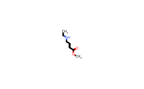 CCNC/C=C/C(=O)OC